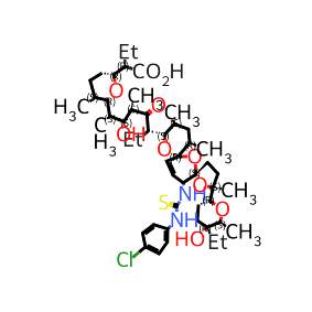 CCC(C(=O)[C@@H](C)[C@@H](O)[C@H](C)[C@@H]1O[C@@H]([C@@H](CC)C(=O)O)CC[C@@H]1C)[C@H]1O[C@]2(C=CC(NC(=S)Nc3ccc(Cl)cc3)[C@]3(CC[C@@](C)([C@H]4CC[C@](O)(CC)[C@H](C)O4)O3)O2)[C@H](C)C[C@@H]1C